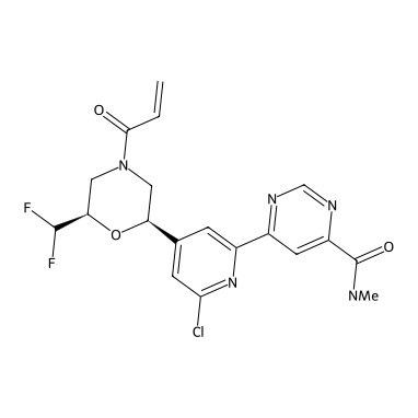 C=CC(=O)N1C[C@@H](c2cc(Cl)nc(-c3cc(C(=O)NC)ncn3)c2)O[C@@H](C(F)F)C1